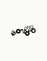 O=C1c2c(cccc2O[C@H]2CCCC[C@@H]2O)CN1Cc1ccc(-n2cccn2)cc1